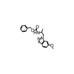 COc1ccc2cnn(CC(C)NC(=O)OCc3ccccc3)c2c1